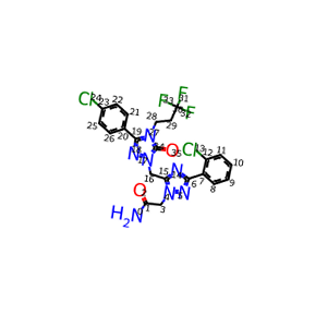 NC(=O)Cn1nc(-c2ccccc2Cl)nc1Cn1nc(-c2ccc(Cl)cc2)n(CCC(F)(F)F)c1=O